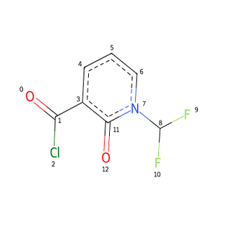 O=C(Cl)c1cccn(C(F)F)c1=O